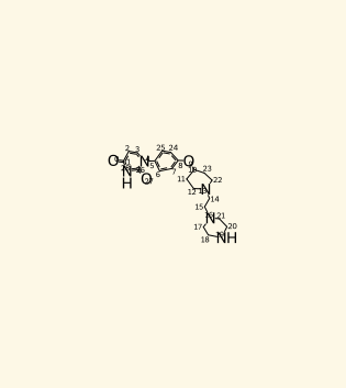 O=c1ccn(-c2ccc(OC3CCN(CCN4CCNCC4)CC3)cc2)c(=O)[nH]1